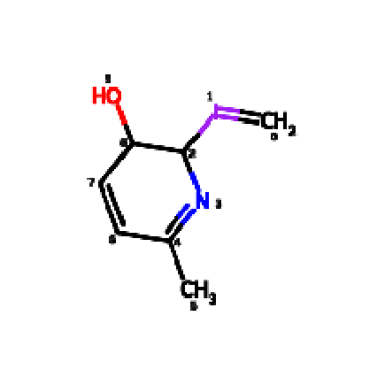 C=IC1N=C(C)C=CC1O